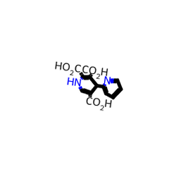 O=C(O)C1=CNC(C(=O)O)=C(C(=O)O)C1c1ccccn1